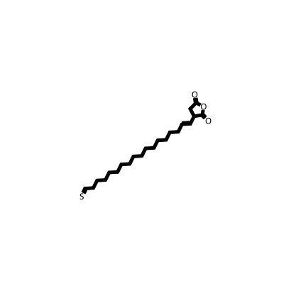 O=C1CC(C=CCCCCCCCCCCCCCCCC=S)C(=O)O1